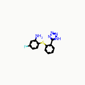 Nc1cc(F)ccc1Sc1ccccc1-c1nnn[nH]1